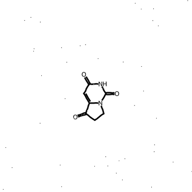 O=C1CCn2c1cc(=O)[nH]c2=O